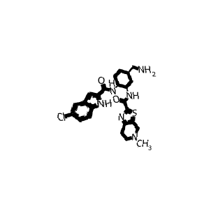 CN1CCc2nc(C(=O)N[C@H]3C[C@H](CN)CC[C@H]3NC(=O)c3cc4cc(Cl)ccc4[nH]3)sc2C1